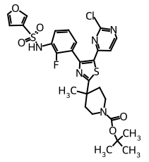 CC(C)(C)OC(=O)N1CCC(C)(c2nc(-c3cccc(NS(=O)(=O)c4ccoc4)c3F)c(-c3ccnc(Cl)n3)s2)CC1